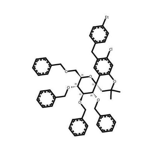 CCc1ccc(Cc2cc3c(cc2Cl)OC(C)(C)C[C@]32O[C@H](COCc3ccccc3)[C@@H](OCc3ccccc3)[C@H](OCc3ccccc3)[C@H]2OCc2ccccc2)cc1